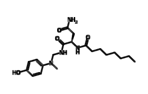 CCCCCCCC(=O)N[C@H](CC(N)=O)C(=O)NCN(C)c1ccc(O)cc1